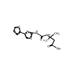 CC(C)(CC(=O)O)NC(=O)Nc1nc(-c2cccs2)cs1